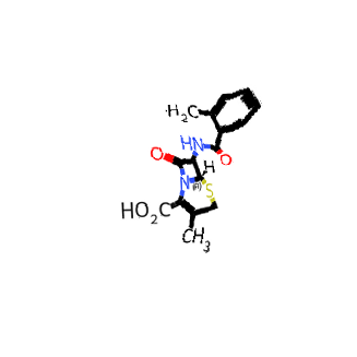 [CH2]c1ccccc1C(=O)NC1C(=O)N2C(C(=O)O)=C(C)CS[C@H]12